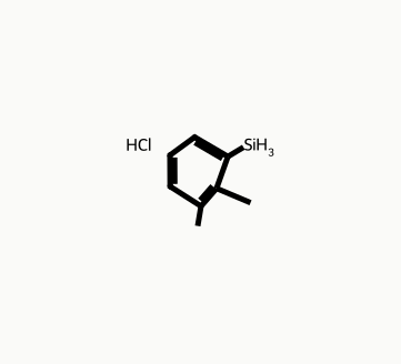 Cc1cccc([SiH3])c1C.Cl